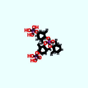 Cc1cccc(C)c1OP(=O)(Oc1c(C)cccc1C)Oc1c(C)cccc1C.O=P(O)(O)O.O=P(O)(O)O